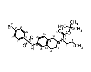 CCCN(C(=O)OC(C)(C)C)C1CCc2cc(NS(=O)(=O)c3ccc(Br)cc3)ccc2C1